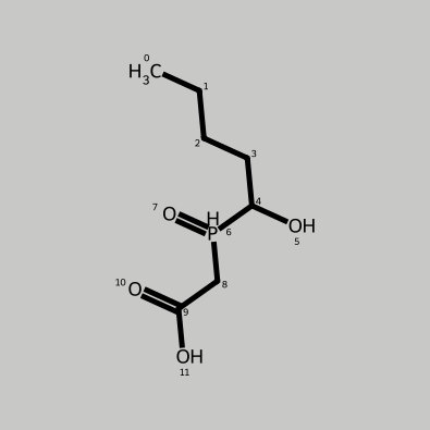 CCCCC(O)[PH](=O)CC(=O)O